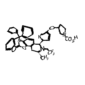 C[C@@H]1Cc2c(ccc3c2oc(=O)n3C(c2ccccc2)(c2ccccc2)c2ccccc2)[C@@H](c2ccc(OC3CCN(C(=O)O)C3)cn2)N1CC(F)(F)F